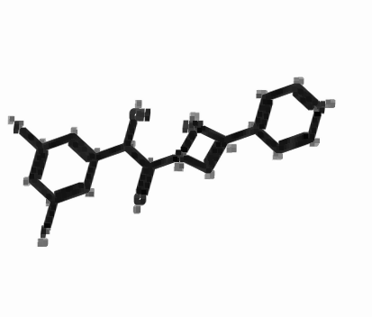 O=C(C(O)c1cc(F)cc(F)c1)n1cc(-c2ccncc2)[nH]1